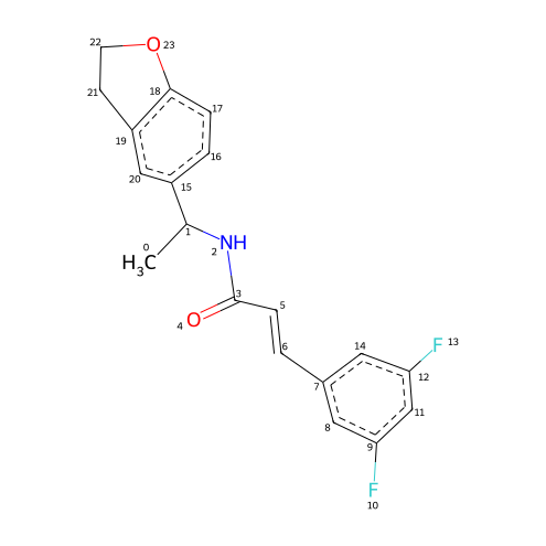 CC(NC(=O)C=Cc1cc(F)cc(F)c1)c1ccc2c(c1)CCO2